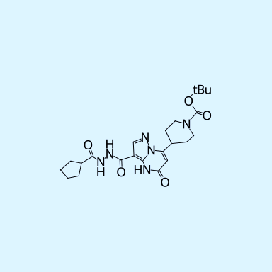 CC(C)(C)OC(=O)N1CCC(c2cc(=O)[nH]c3c(C(=O)NNC(=O)C4CCCC4)cnn23)CC1